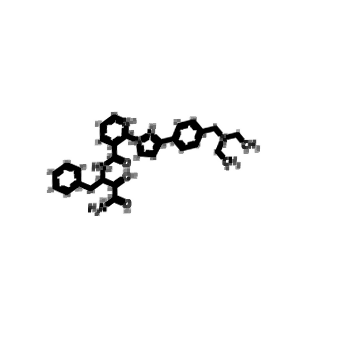 CCN(CC)Cc1ccc(-c2ccn(-c3ncccc3C(=O)NC(Cc3ccccc3)C(=O)C(N)=O)n2)cc1